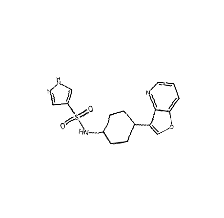 O=S(=O)(NC1CCC(c2coc3cccnc23)CC1)c1cn[nH]c1